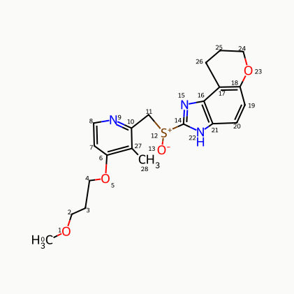 COCCCOc1ccnc(C[S+]([O-])c2nc3c4c(ccc3[nH]2)OCCC4)c1C